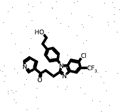 O=C(CCc1nc2cc(C(F)(F)F)c(Cl)cc2n1-c1ccc(CCO)cc1)c1cccnc1